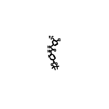 CC1(C)OB(c2ccc(NC(=O)Nc3ccc(Cl)c(C(F)(F)F)c3)nc2)OC1(C)C